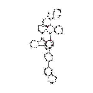 c1ccc(N(c2ccc(-c3ccc(-c4ccc5ccccc5c4)cc3)cc2)c2ccccc2-n2c3ccccc3c3ccccc32)c(-c2cccc3sc4ccccc4c23)c1